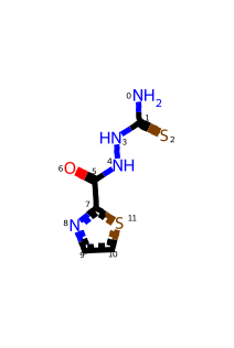 NC(=S)NNC(=O)c1nccs1